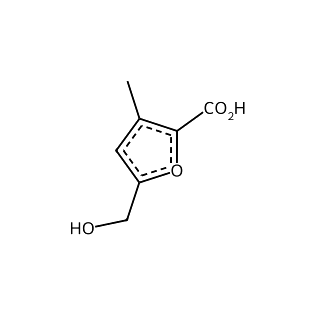 Cc1cc(CO)oc1C(=O)O